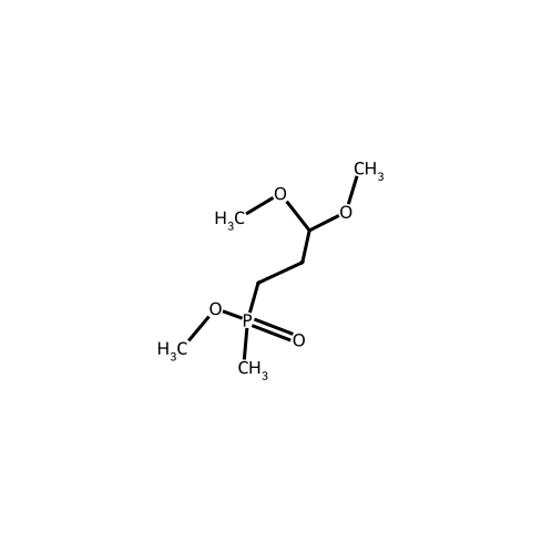 COC(CCP(C)(=O)OC)OC